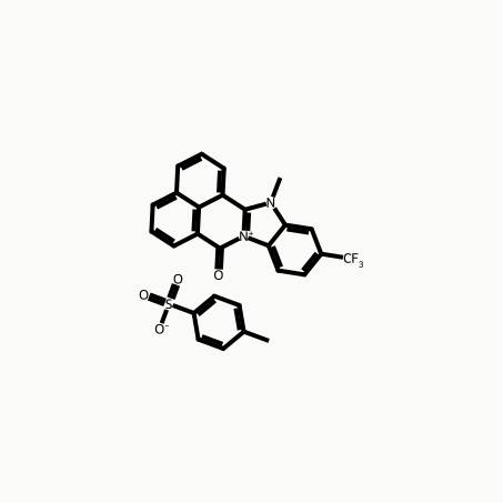 Cc1ccc(S(=O)(=O)[O-])cc1.Cn1c2[n+](c3ccc(C(F)(F)F)cc31)C(=O)c1cccc3cccc-2c13